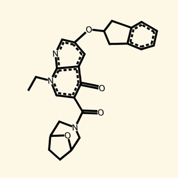 CCn1cc(C(=O)N2CC3CCC(C2)O3)c(=O)c2cc(OC3Cc4ccccc4C3)cnc21